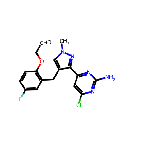 Cn1cc(Cc2cc(F)ccc2OCC=O)c(-c2cc(Cl)nc(N)n2)n1